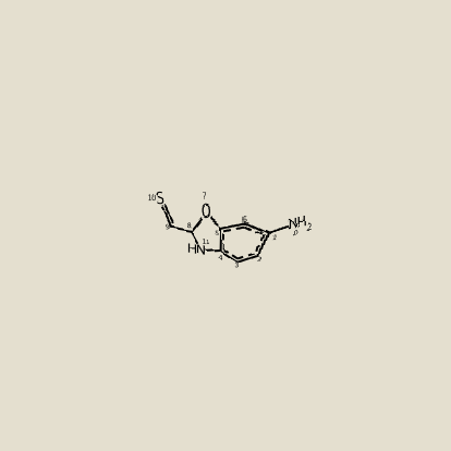 Nc1ccc2c(c1)OC(C=S)N2